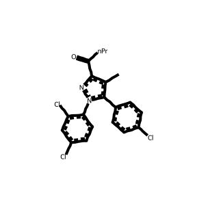 CCCC(=O)c1nn(-c2ccc(Cl)cc2Cl)c(-c2ccc(Cl)cc2)c1C